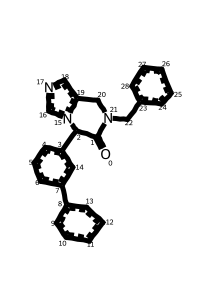 O=C1C(c2cccc(-c3ccccc3)c2)n2cncc2CN1Cc1ccccc1